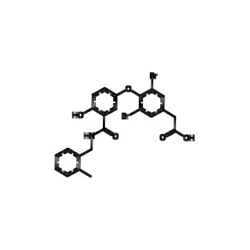 Cc1ccccc1CNC(=O)c1cc(Oc2c(Br)cc(CC(=O)O)cc2Br)ccc1O